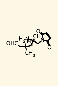 CC(C)(CC=O)CC(C)(N)CN1C(=O)C=CC1=O